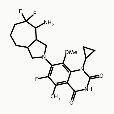 COc1c(N2CC3CCCC(F)(F)C(N)C3C2)c(F)c(C)c2c(=O)[nH]c(=O)n(C3CC3)c12